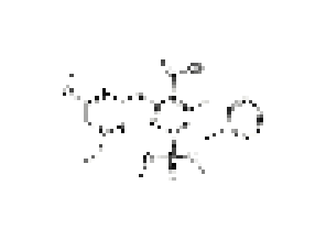 COc1cc(OC)nc(Sc2cc(P(=O)(OC)OC)c(Cc3ccccc3)c(Cl)c2C(=O)O)n1